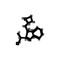 C[C@H](Cl)c1nc2ccccc2n1C[C@@H]1CCO1